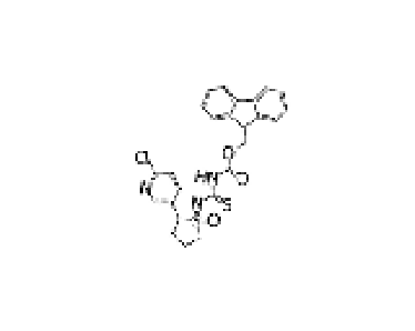 O=C(NC(=S)N=S1(=O)CCCC1c1ccc(Cl)nc1)OCC1c2ccccc2-c2ccccc21